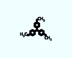 CCc1ccc(C(c2ccc(CC)cc2)c2ccc(CC)cc2)cc1